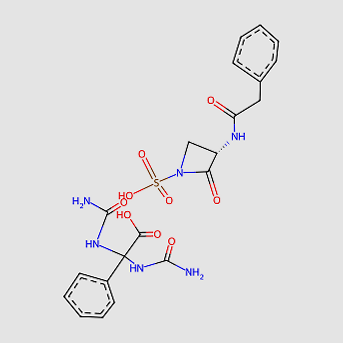 NC(=O)NC(NC(N)=O)(C(=O)O)c1ccccc1.O=C(Cc1ccccc1)N[C@H]1CN(S(=O)(=O)O)C1=O